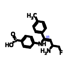 Cc1ccc(/C(=C/C(N)CF)Nc2ccc(S(=O)O)cc2)cc1